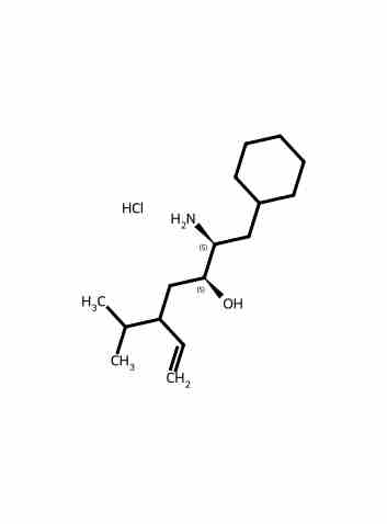 C=CC(C[C@H](O)[C@@H](N)CC1CCCCC1)C(C)C.Cl